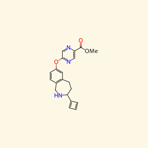 COC(=O)c1cnc(Oc2ccc3c(c2)CCC(C2=CC=C2)NC3)cn1